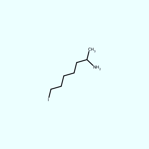 CC(N)CCCCCI